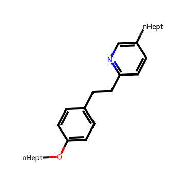 CCCCCCCOc1ccc(CCc2ccc(CCCCCCC)cn2)cc1